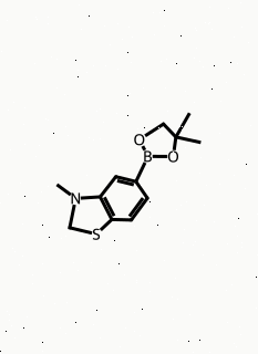 CN1CSc2ccc(B3OCC(C)(C)O3)cc21